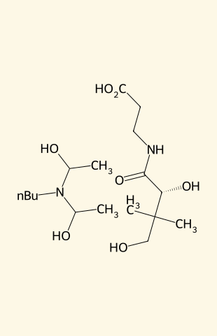 CC(C)(CO)[C@@H](O)C(=O)NCCC(=O)O.CCCCN(C(C)O)C(C)O